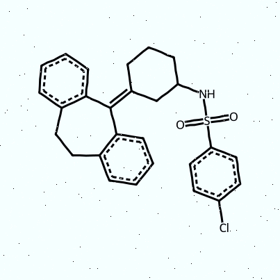 O=S(=O)(NC1CCCC(=C2c3ccccc3CCc3ccccc32)C1)c1ccc(Cl)cc1